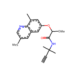 C#CC(C)(C)NC(=O)C(OC)Oc1cc(C)c2ncc(SC)cc2c1